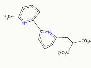 CCOC(=O)C(Cc1cccc(-c2cccc(C)n2)n1)C(=O)OCC